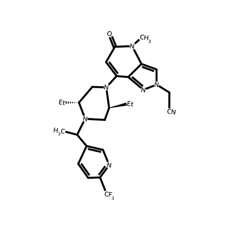 CC[C@H]1CN(C(C)c2ccc(C(F)(F)F)nc2)[C@H](CC)CN1c1cc(=O)n(C)c2cn(CC#N)nc12